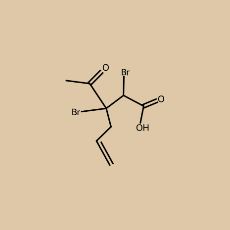 C=CCC(Br)(C(C)=O)C(Br)C(=O)O